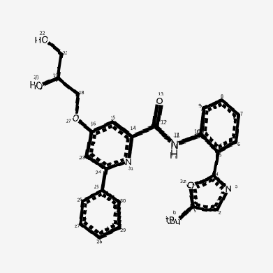 CC(C)(C)c1cnc(-c2ccccc2NC(=O)c2cc(OCC(O)CO)cc(-c3ccccc3)n2)o1